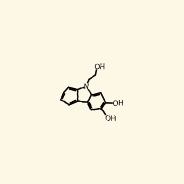 OCCn1c2ccccc2c2cc(O)c(O)cc21